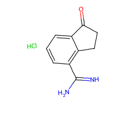 Cl.N=C(N)c1cccc2c1CCC2=O